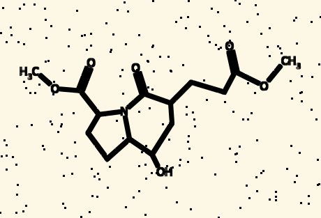 COC(=O)CCC1CC(O)C2CCC(C(=O)OC)N2C1=O